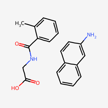 Cc1ccccc1C(=O)NCC(=O)O.Nc1ccc2ccccc2c1